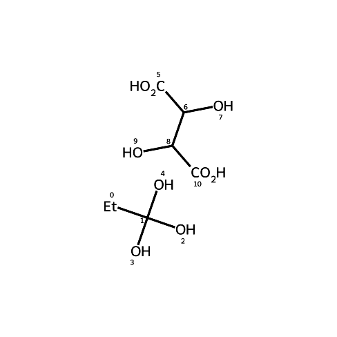 CCC(O)(O)O.O=C(O)C(O)C(O)C(=O)O